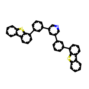 c1cc(-c2cncc(-c3cccc(-c4cccc5c4sc4ccccc45)c3)c2)cc(-c2cccc3c2sc2ccccc23)c1